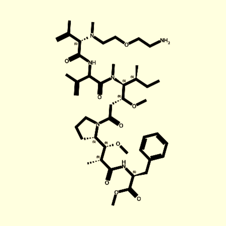 C=C(C)C(NC(=O)[C@H](C(=C)C)N(C)CCOCCN)C(=O)N(C)[C@@H]([C@@H](C)CC)[C@@H](CC(=O)N1CCC[C@H]1[C@H](OC)[C@@H](C)C(=O)N[C@@H](Cc1ccccc1)C(=O)OC)OC